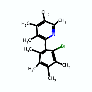 Cc1nc(-c2c(C)c(C)c(C)c(C)c2Br)c(C)c(C)c1C